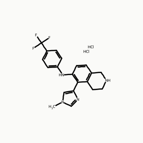 Cl.Cl.Cn1cnc(-c2c(Nc3ccc(C(F)(F)F)cc3)ccc3c2CCNC3)c1